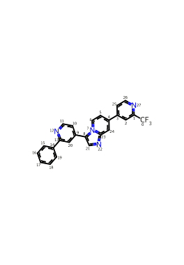 FC(F)(F)c1cc(-c2ccn3c(-c4ccnc(-c5ccccc5)c4)cnc3c2)ccn1